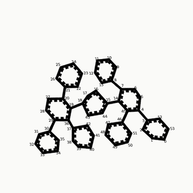 c1ccc(-c2ccc(-c3ccccc3)c(-c3ccc(-c4c(-c5ccccc5)ccc(-c5ccccc5)c4-c4ccccc4)cc3)c2-c2ccccc2)cc1